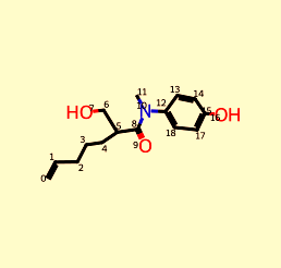 C=CCCCC(CO)C(=O)N(C)c1ccc(O)cc1